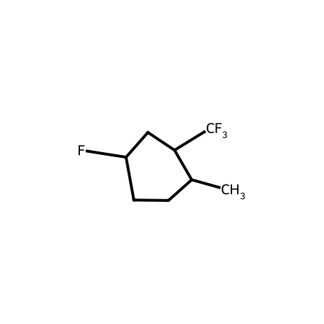 CC1CCC(F)CC1C(F)(F)F